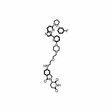 O=C1CCC(N2Cc3cc(NCCOCCN4CCN(c5cccc(-c6cnc7ccc(N8CCC[C@@H]8c8cccc(F)c8)nn67)n5)CC4)ccc3C2=O)C(=O)N1